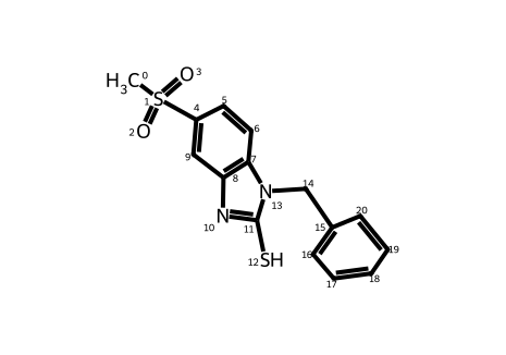 CS(=O)(=O)c1ccc2c(c1)nc(S)n2Cc1ccccc1